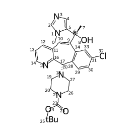 Cn1cncc1[C@](C)(O)C1=Cc2cccnc2[C@@H](N2CCN(C(=O)OC(C)(C)C)CC2)c2ccc(Cl)cc21